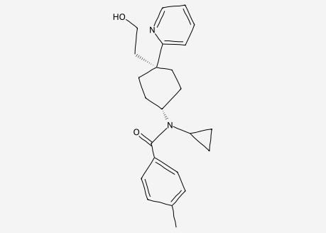 Cc1ccc(C(=O)N(C2CC2)[C@H]2CC[C@](CCO)(c3ccccn3)CC2)cc1